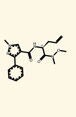 C=CC[C@H](NC(=O)c1cn(C)nc1-c1ccccc1)C(=O)N(C)OC